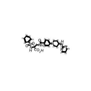 O=C(NC[C@H](NS(=O)(=O)c1ccccc1)C(=O)O)c1ccc(N2CCC(Nc3ncccn3)CC2)cc1